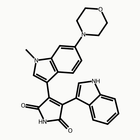 Cn1cc(C2=C(c3c[nH]c4ccccc34)C(=O)NC2=O)c2ccc(N3CCOCC3)cc21